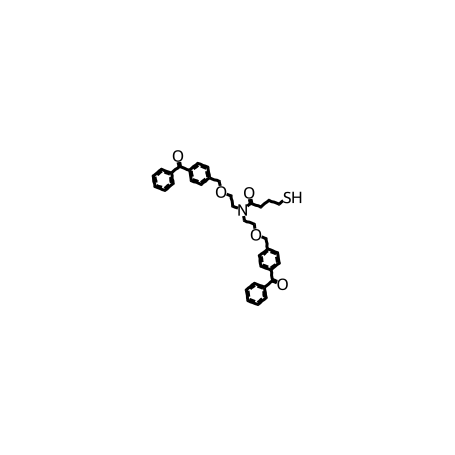 O=C(c1ccccc1)c1ccc(COCCN(CCOCc2ccc(C(=O)c3ccccc3)cc2)C(=O)CCCS)cc1